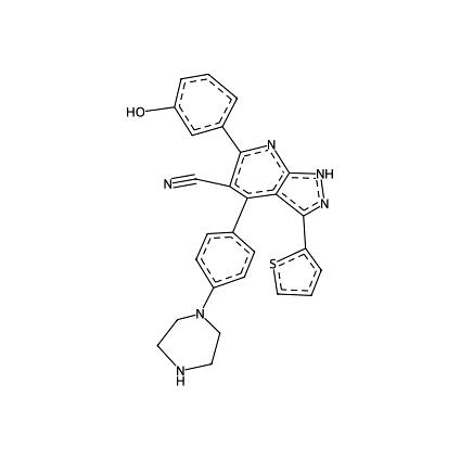 N#Cc1c(-c2cccc(O)c2)nc2[nH]nc(-c3cccs3)c2c1-c1ccc(N2CCNCC2)cc1